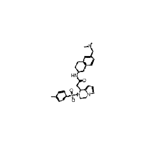 Cc1ccc(S(=O)(=O)N2CCn3cccc3C2CC(=O)NC2CCc3cc(CN(C)C)ccc3C2)cc1